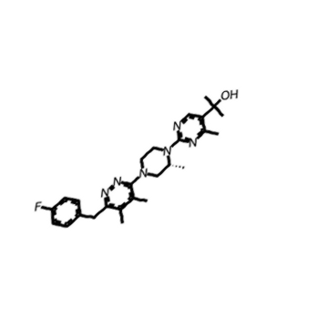 Cc1nc(N2CCN(c3nnc(Cc4ccc(F)cc4)c(C)c3C)C[C@H]2C)ncc1C(C)(C)O